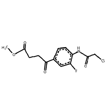 COC(=O)CCC(=O)c1ccc(NC(=O)CCl)c(F)c1